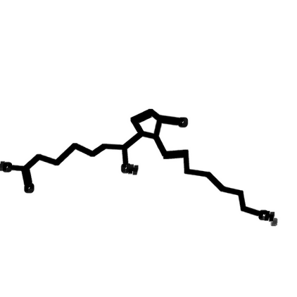 CCCCCCC=CC1C(=O)C=CC1C(O)CCCCCC(=O)O